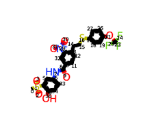 CS(=O)(=O)c1cc(NC(=O)c2ccc(CCSc3ccc(OC(F)(F)F)cc3)c([N+](=O)[O-])c2)ccc1O